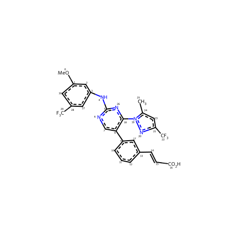 COc1cc(Nc2ncc(-c3cccc(/C=C/C(=O)O)c3)c(-n3nc(C(F)(F)F)cc3C)n2)cc(C(F)(F)F)c1